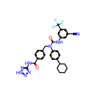 N#Cc1cc(NC(=O)N(Cc2ccc(C(=O)Nc3nn[nH]n3)cc2)c2ccc(C3CCCCC3)cc2)cc(C(F)(F)F)c1